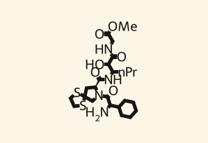 CCCC(NC(=O)[C@@H]1CC2(CN1C(=O)C(N)C1CCCCC1)SCCS2)C(O)C(=O)NCC(=O)OC